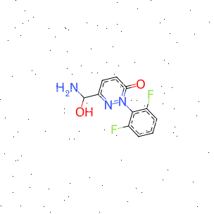 NC(O)c1ccc(=O)n(-c2c(F)cccc2F)n1